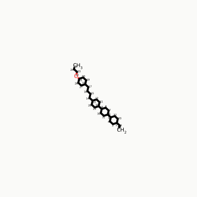 C=CC1CCC(C2CCC(C3CCC(CCCCC4CCC(OCCC)CC4)CC3)CC2)CC1